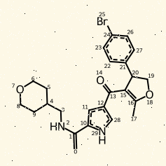 C=C(NCC1CCOCC1)c1cc(C(=O)C2=C(C)OCC2c2ccc(Br)cc2)c[nH]1